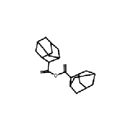 C=C(OC(=C)C1C2CC3CC(C2)CC1C3)C1C2CC3CC(C2)CC1C3